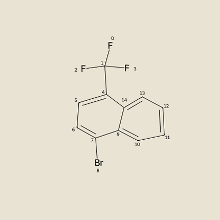 FC(F)(F)c1ccc(Br)c2ccccc12